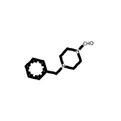 O=[C]N1CCN(Cc2ccccc2)CC1